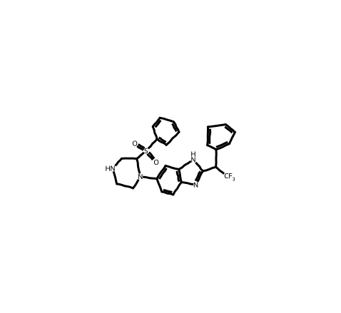 O=S(=O)(c1ccccc1)C1CNCCN1c1ccc2nc(C(c3ccccc3)C(F)(F)F)[nH]c2c1